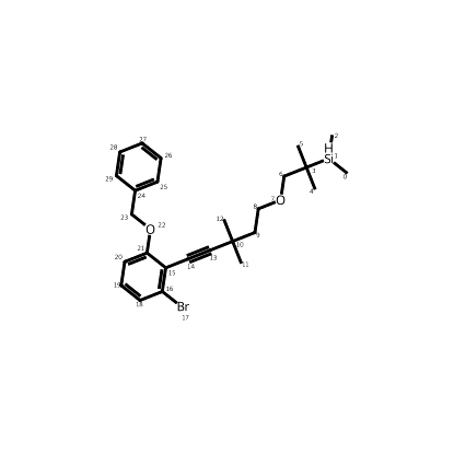 C[SiH](C)C(C)(C)COCCC(C)(C)C#Cc1c(Br)cccc1OCc1ccccc1